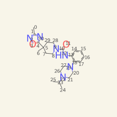 Cc1noc(C2(C)CCN(C(=O)Nc3ccccc3N3CCN(C(C)C)CC3)CC2)n1